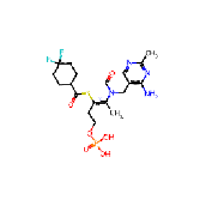 C/C(=C(\CCOP(=O)(O)O)SC(=O)C1CCC(F)(F)CC1)N(C=O)Cc1cnc(C)nc1N